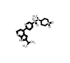 CC(C)c1cc2c(-c3ccc(S(=O)(=O)N(C)C4CCS(=O)(=O)CC4)cn3)ccnc2[nH]1